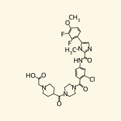 COc1ccc(-c2cnc(C(=O)Nc3ccc(C(=O)N4CCN(C(=O)C5CCN(CC(=O)O)CC5)CC4)c(Cl)c3)n2C)c(F)c1F